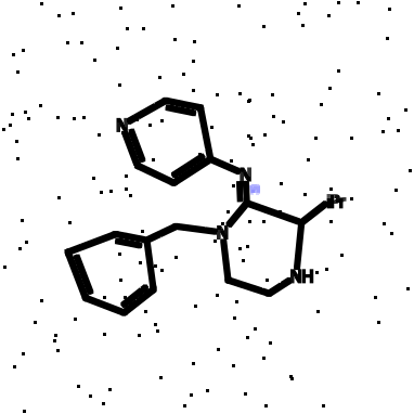 CC(C)C1NCCN(Cc2ccccc2)/C1=N\c1ccncc1